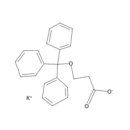 O=C([O-])CCOC(c1ccccc1)(c1ccccc1)c1ccccc1.[K+]